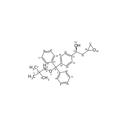 CC(C)(C)[SiH2]OC(c1ccccc1)(c1ccccc1)c1ccc([C@@H](O)CC2CO2)cc1